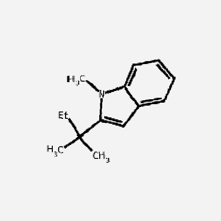 CCC(C)(C)c1cc2ccccc2n1C